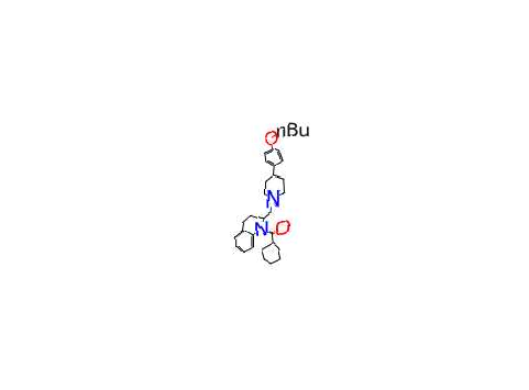 CCCCOc1ccc(C2CCN(CC3CCc4ccccc4N3C(=O)C3CCCCC3)CC2)cc1